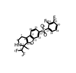 CC1(C(F)F)NCCc2c1oc1cc(S(=O)(=O)c3cccc(F)c3F)ccc21